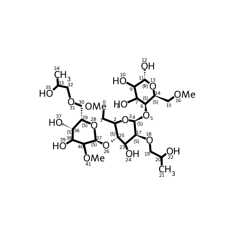 COCC1O[C@@H](O[C@H]2C(O)C(O)[C@H](O)O[C@H]2COC)[C@@H](OCC(C)O)C(O)[C@@H]1O[C@@H]1O[C@@H](COCC(C)O)[C@@H](O)C(O)C1OC